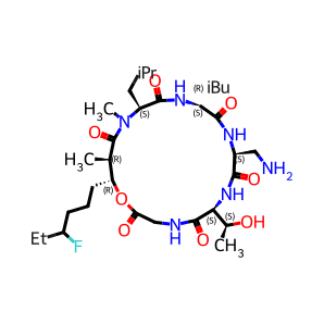 CCC(F)CCC[C@H]1OC(=O)CNC(=O)[C@H]([C@H](C)O)NC(=O)[C@H](CN)NC(=O)[C@H]([C@H](C)CC)NC(=O)[C@H](CC(C)C)N(C)C(=O)[C@@H]1C